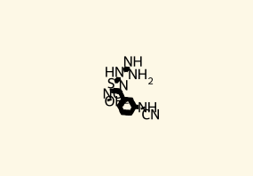 N#CNc1cccc(-c2csc(NC(=N)N)n2)c1.O=[N+]([O-])O